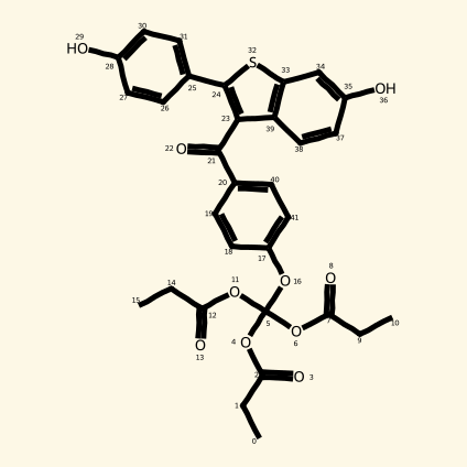 CCC(=O)OC(OC(=O)CC)(OC(=O)CC)Oc1ccc(C(=O)c2c(-c3ccc(O)cc3)sc3cc(O)ccc23)cc1